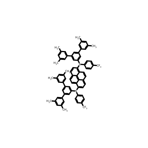 Cc1cc(C)cc(-c2cc(-c3cc(C)cc(C)c3)cc(N(c3ccc(C(F)(F)F)cc3)c3ccc4ccc5c(N(c6ccc(C(F)(F)F)cc6)c6cc(-c7cc(C)cc(C)c7)cc(-c7cc(C)cc(C)c7)c6)ccc6ccc3c4c65)c2)c1